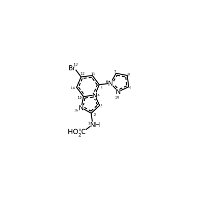 O=C(O)Nc1cn2c(-n3cccn3)cc(Br)cc2n1